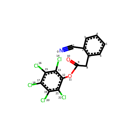 N#Cc1ccccc1CC(=O)Oc1c(Cl)c(Cl)c(Cl)c(Cl)c1Cl